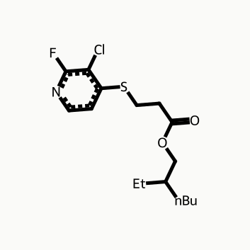 CCCCC(CC)COC(=O)CCSc1ccnc(F)c1Cl